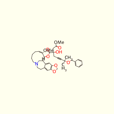 COC(=O)C[C@](O)(CC#CC(C)(C)OCc1ccccc1)C(=O)O[C@@H]1/C(OC)=C\CCCCN2CCc3cc4c(cc3[C@H]1C2)OCO4